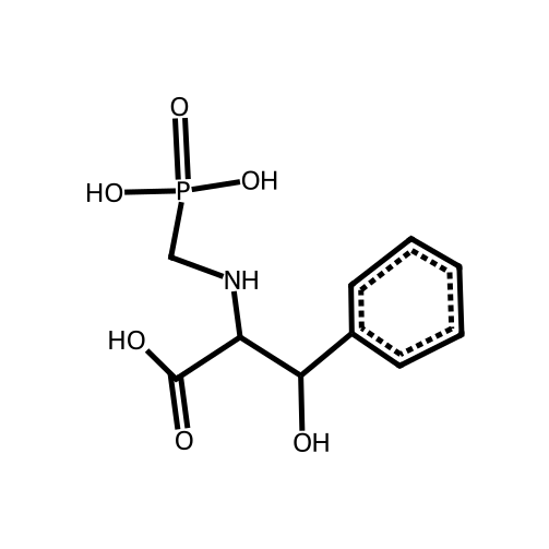 O=C(O)C(NCP(=O)(O)O)C(O)c1ccccc1